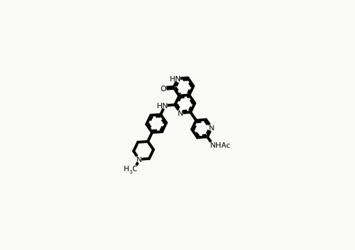 CC(=O)Nc1ccc(-c2cc3cc[nH]c(=O)c3c(Nc3ccc(C4CCN(C)CC4)cc3)n2)cn1